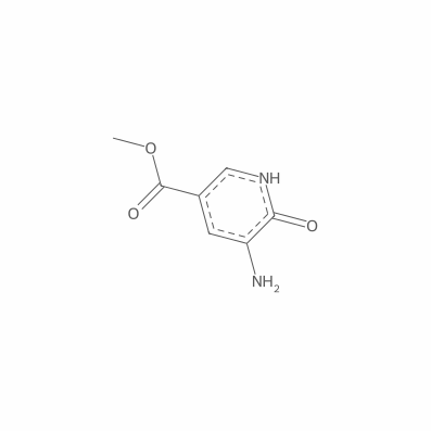 COC(=O)c1c[nH]c(=O)c(N)c1